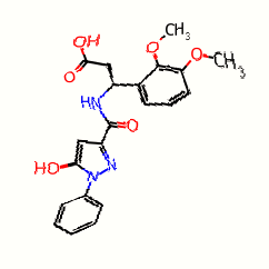 COc1cccc([C@H](CC(=O)O)NC(=O)c2cc(O)n(-c3ccccc3)n2)c1OC